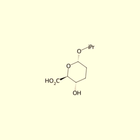 CC(C)O[C@@H]1CC[C@H](O)[C@@H](C(=O)O)O1